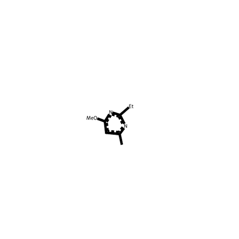 CCc1nc(C)cc(OC)n1